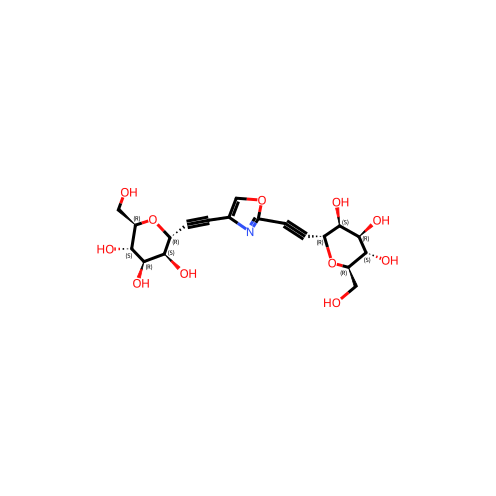 OC[C@H]1O[C@H](C#Cc2coc(C#C[C@H]3O[C@H](CO)[C@@H](O)[C@H](O)[C@@H]3O)n2)[C@@H](O)[C@@H](O)[C@@H]1O